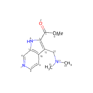 COC(=O)c1[nH]c2cnccc2c1CN(C)C